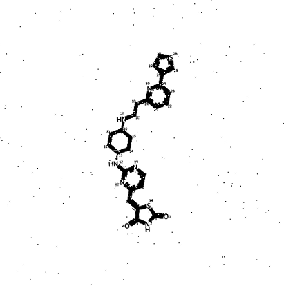 O=C1NC(=O)/C(=C/c2ccnc(N[C@H]3CC[C@H](NCCc4cccc(-c5ccsc5)n4)CC3)n2)S1